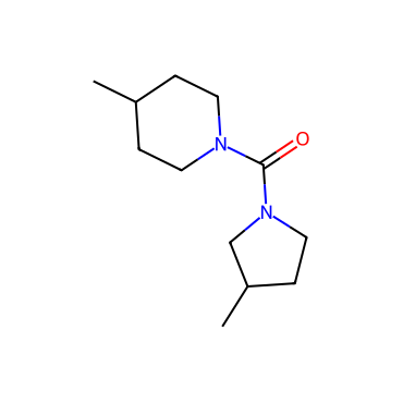 CC1CCN(C(=O)N2CCC(C)C2)CC1